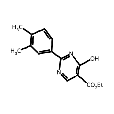 CCOC(=O)c1cnc(-c2ccc(C)c(C)c2)nc1O